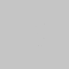 [CH2]c1cc(C(C)(C)C)c(O)c(C(C)(C)C)c1C(C(=O)O)C(=O)OCCCC